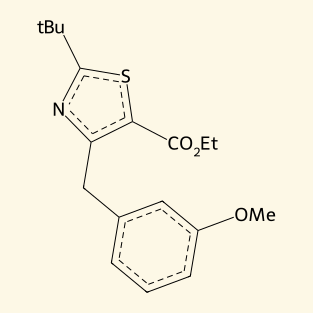 CCOC(=O)c1sc(C(C)(C)C)nc1Cc1cccc(OC)c1